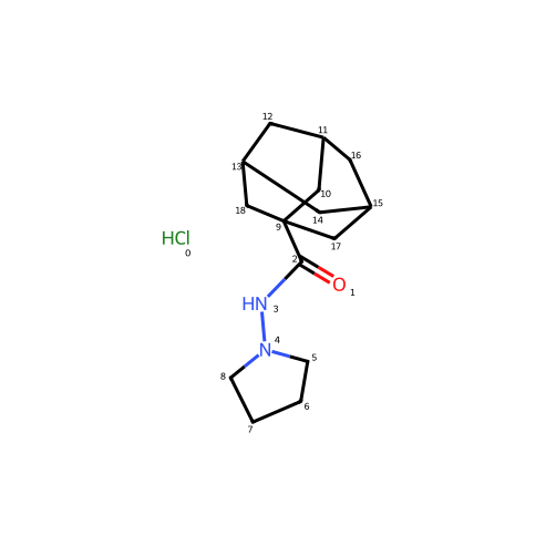 Cl.O=C(NN1CCCC1)C12CC3CC(CC(C3)C1)C2